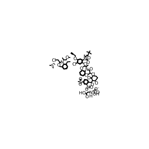 C#CCOc1cc(-n2nc(C(C)(C)C)oc2=O)c(Cl)cc1Cl.CC1COc2ccccc2N1C(=O)C(Cl)Cl.CCc1cccc(C)c1N(C(=O)CCl)C(C)COC.CS(=O)(=O)c1ccc(C(=O)C2C(=O)CCCC2=O)c([N+](=O)[O-])c1.C[S+](C)C.O=C(O)CNCP(=O)([O-])O